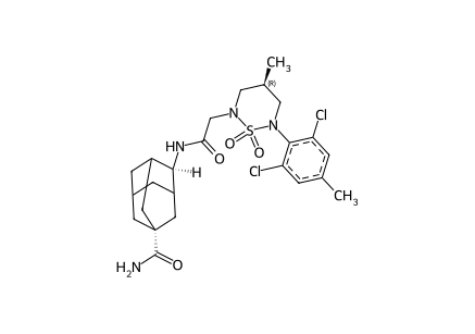 Cc1cc(Cl)c(N2C[C@H](C)CN(CC(=O)N[C@H]3C4CC5CC3C[C@](C(N)=O)(C5)C4)S2(=O)=O)c(Cl)c1